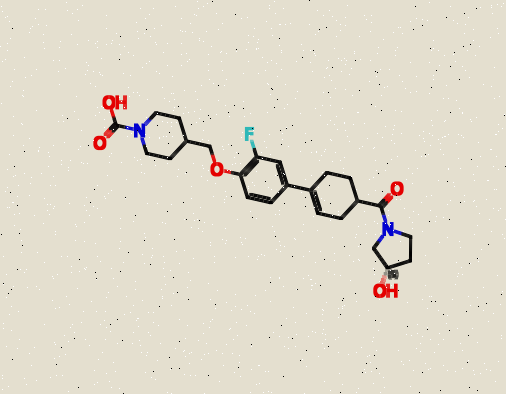 O=C(O)N1CCC(COc2ccc(C3=CCC(C(=O)N4CC[C@H](O)C4)CC3)cc2F)CC1